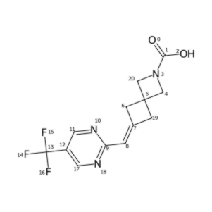 O=C(O)N1CC2(CC(=Cc3ncc(C(F)(F)F)cn3)C2)C1